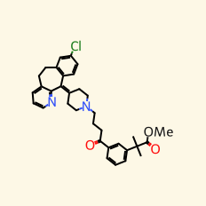 COC(=O)C(C)(C)c1cccc(C(=O)CCCN2CCC(=C3c4ccc(Cl)cc4CCc4cccnc43)CC2)c1